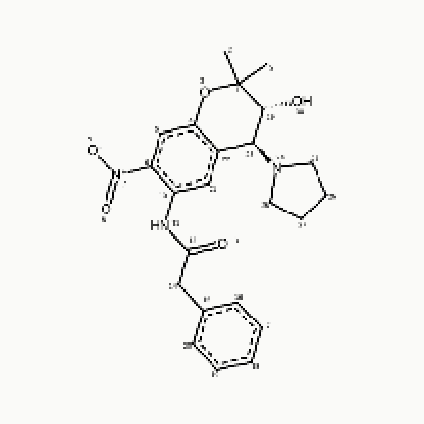 CC1(C)Oc2cc([N+](=O)[O-])c(NC(=O)Cc3ccccc3)cc2[C@H](N2CCCC2)[C@H]1O